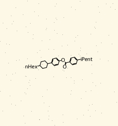 CCCCCCC1CCC(c2ccc(OC(=O)c3ccc(C(C)CCC)cc3)cc2)CC1